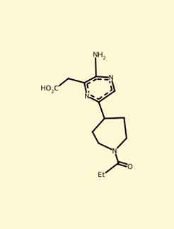 CCC(=O)N1CCC(c2cnc(N)c(CC(=O)O)n2)CC1